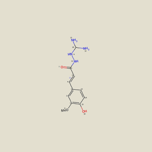 COc1cc(/C=C/C(=O)NNC(N)N)ccc1O